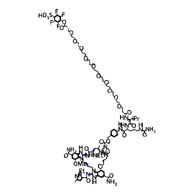 CCN/C(=C\C(C)=N)C(=O)/N=c1\[nH]c2cc(C(N)=O)cc(OC)c2n1C/C=C/Cn1/c(=N/C(=O)c2cc(C)nn2CC)[nH]c2cc(C(N)=O)cc(OCCCN3CCN(C(=O)OCc4ccc(NC(=O)C(CCCNC(N)=O)NC(=O)[C@@H](NC(=O)CCOCCOCCOCCOCCOCCOCCOCCOCCOCCOCCC(=O)Oc5c(F)c(F)c(S(=O)(=O)O)c(F)c5F)C(C)C)cc4)CC3)c21